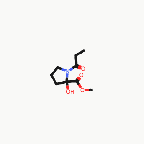 CCC(=O)N1CCCC1(O)C(=O)OC